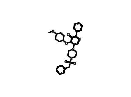 COC1CCC(Oc2c(N3CCN(S(=O)(=O)Cc4ccccc4)CC3)cnn(-c3ccccc3)c2=O)CC1